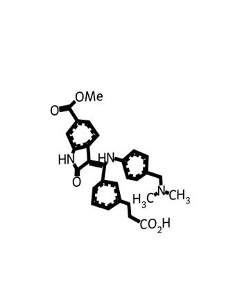 COC(=O)c1ccc2c(c1)NC(=O)C2=C(Nc1ccc(CN(C)C)cc1)c1cccc(CCC(=O)O)c1